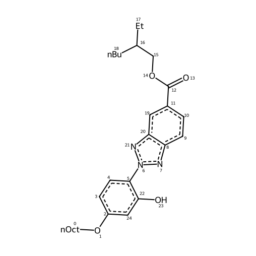 CCCCCCCCOc1ccc(-n2nc3ccc(C(=O)OCC(CC)CCCC)cc3n2)c(O)c1